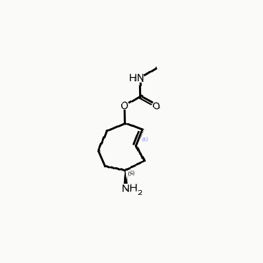 CNC(=O)OC1/C=C/C[C@@H](N)CCC1